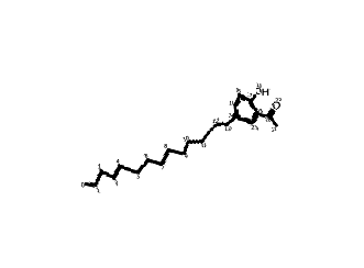 CCCCCCCCCCCCCCc1ccc(O)c(C(C)=O)c1